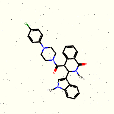 CN1C(=O)c2ccccc2C(C(=O)N2CCN(c3ccc(Cl)cc3)CC2)C1c1cn(C)c2ccccc12